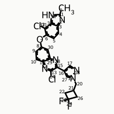 Cc1nc2ccc(Oc3ccc4nc(Cl)c(-c5cnn(CC6CC(F)(F)C6)c5)nc4c3)c(Cl)c2[nH]1